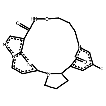 O=C1NCCCCn2cc(F)cc(c2=O)C2CCCN2c2ccn3ncc1c3n2